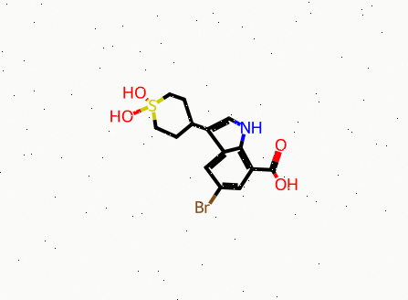 O=C(O)c1cc(Br)cc2c(C3CCS(O)(O)CC3)c[nH]c12